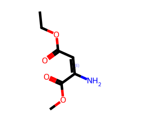 CCOC(=O)/C=C(/N)C(=O)OC